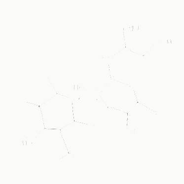 CCCCCCCC(CC(=O)O)OC1OC(C)C(O)C(OC2OC(C)C(O)C(O)C2CO)[C@@H]1O